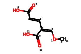 COC=C(C=CC(=O)O)C(=O)O